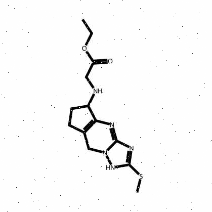 CCOC(=O)CNC1CCC2=C1N=C1N=C(SC)NN1C2